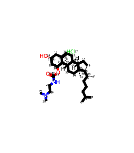 CC(C)CCC[C@@H](C)[C@H]1CC[C@H]2[C@@H]3CC=C4C[C@@H](O)CC(OC(=O)NCCN(C)C)[C@]4(C)[C@H]3CC[C@]12C.Cl